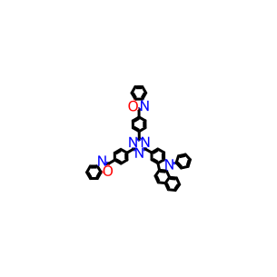 c1ccc(-n2c3ccc(-c4nc(-c5ccc(-c6nc7ccccc7o6)cc5)nc(-c5ccc(-c6nc7ccccc7o6)cc5)n4)cc3c3ccc4ccccc4c32)cc1